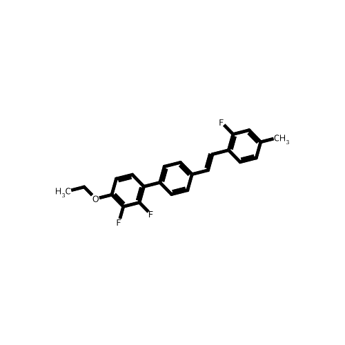 CCOc1ccc(-c2ccc(/C=C/c3ccc(C)cc3F)cc2)c(F)c1F